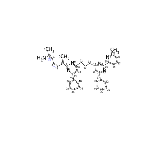 C=C(/C=C\C=C(\C)N)c1nc(CCCc2cc(-c3ccccc3)nc(-c3cccc(C)n3)n2)cc(-c2ccccc2)n1